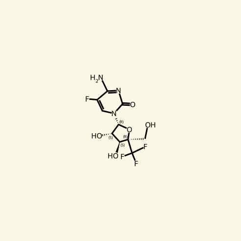 Nc1nc(=O)n([C@@H]2O[C@@](CO)(C(F)(F)F)[C@@H](O)[C@@H]2O)cc1F